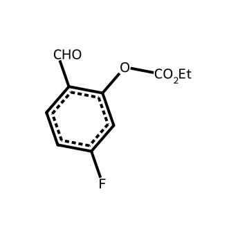 CCOC(=O)Oc1cc(F)ccc1C=O